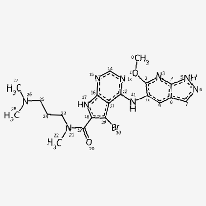 COc1nc2[nH]ncc2cc1Nc1ncnc2[nH]c(C(=O)N(C)CCCN(C)C)c(Br)c12